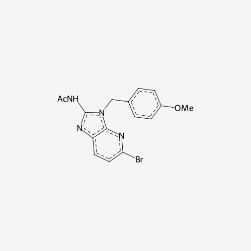 COc1ccc(Cn2c(NC(C)=O)nc3ccc(Br)nc32)cc1